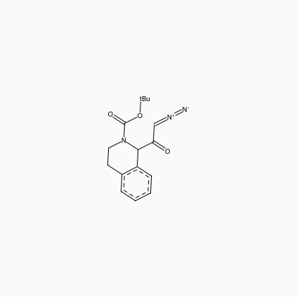 CC(C)(C)OC(=O)N1CCc2ccccc2C1C(=O)C=[N+]=[N-]